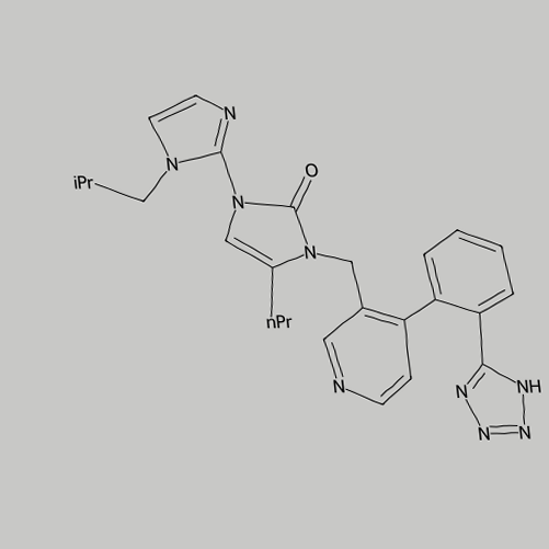 CCCc1cn(-c2nccn2CC(C)C)c(=O)n1Cc1cnccc1-c1ccccc1-c1nnn[nH]1